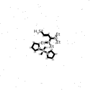 CCN(CC)C(C=C[SiH3])N(CC)CC.C[Si](C)(N1CCCC1)N1CCCC1